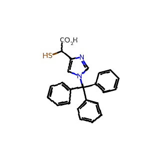 O=C(O)C(S)c1cn(C(c2ccccc2)(c2ccccc2)c2ccccc2)cn1